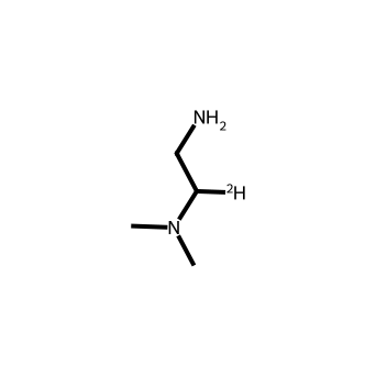 [2H]C(CN)N(C)C